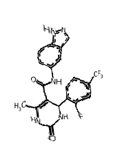 CC1=C(C(=O)Nc2ccc3[nH]ncc3c2)C(c2ccc(C(F)(F)F)cc2F)NC(=O)N1